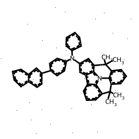 CC1(C)c2cccc3c2-n2c4c1cccc4c1cc(N(c4ccccc4)c4ccc(-c5ccc6ccccc6c5)cc4)cc(c12)C3(C)C